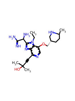 CCn1c(C(N)C(=N)N)nc2c(C#CC(C)(C)O)ncc(OC[C@H]3CCC(C)NC3)c21